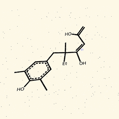 C=C(O)/C=C(/O)C(C)(CC)Cc1cc(C)c(O)c(C)c1